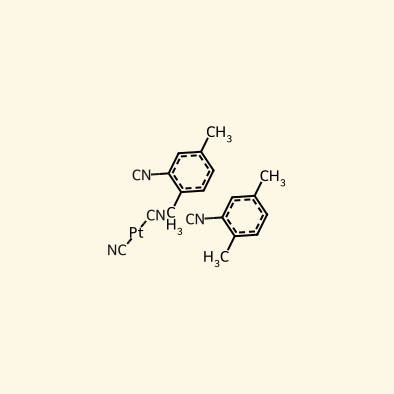 N#[C][Pt][C]#N.[C-]#[N+]c1cc(C)ccc1C.[C-]#[N+]c1cc(C)ccc1C